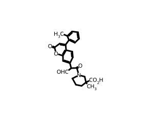 Cc1ccccc1-c1cc(=O)oc2cc(C(C=O)C(=O)N3CCCC(C)(C(=O)O)C3)ccc12